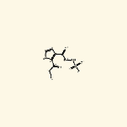 CS(=O)(=O)NNC(=O)c1ccsc1C(=O)CCl